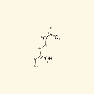 [CH2]CC(O)CCOC(C)=O